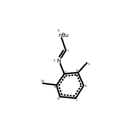 CCCCC=Nc1c(C)cccc1C